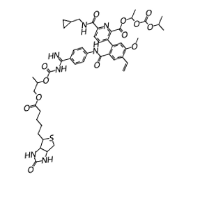 C=Cc1cc(C(=O)Nc2ccc(C(=N)NC(=O)OC(C)COC(=O)CCCCC3SCC4NC(=O)NC43)cc2)c(-c2ccc(C(=O)NCC3CC3)nc2C(=O)OC(C)OC(=O)OC(C)C)cc1OC